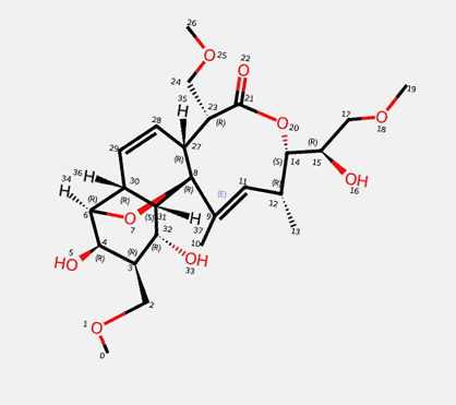 COC[C@H]1[C@@H](O)[C@@H]2O[C@]34/C(C)=C/[C@@H](C)[C@@H]([C@H](O)COC)OC(=O)[C@@H](COC)[C@H]3C=C[C@@H]2[C@H]4[C@@H]1O